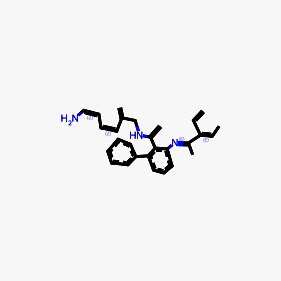 C=CC(=C\C)/C(C)=N/c1cccc(-c2ccccc2)c1C(=C)NCC(=C)/C=C\C=C/N